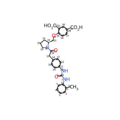 Cc1ccccc1NC(=O)Nc1ccc(CC(=O)N2CCC[C@H]2COc2ccc(C(=O)O)cc2C(=O)O)cc1